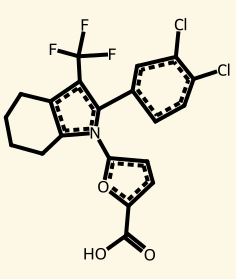 O=C(O)c1ccc(-n2c3c(c(C(F)(F)F)c2-c2ccc(Cl)c(Cl)c2)CCCC3)o1